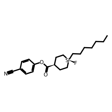 CCCCCCC[Si@]1(F)CC[C@@H](C(=O)Oc2ccc(C#N)cc2)CC1